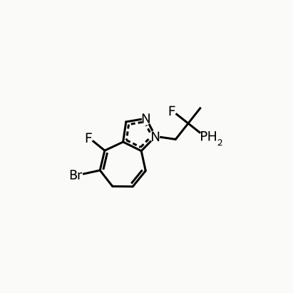 CC(F)(P)Cn1ncc2c1C=CCC(Br)=C2F